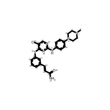 CN1CCN(c2ccc(Nc3ncc(Cl)c(Sc4cccc(C=CC(N)=O)c4)n3)cc2)CC1